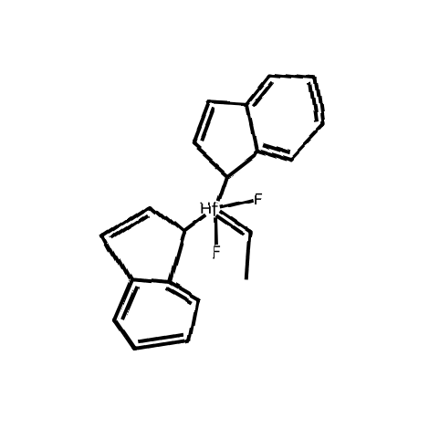 C[CH]=[Hf]([F])([F])([CH]1C=Cc2ccccc21)[CH]1C=Cc2ccccc21